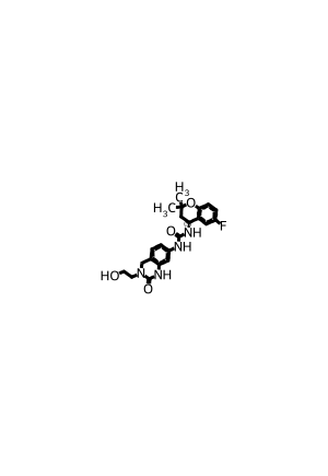 CC1(C)C[C@H](NC(=O)Nc2ccc3c(c2)NC(=O)N(CCO)C3)c2cc(F)ccc2O1